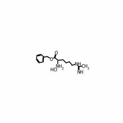 CC(=N)NCCCCC(N)C(=O)OCc1ccccc1.Cl